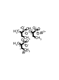 CCC(C)P(=O)([O-])[O-].CCC(C)P(=O)([O-])[O-].CCC(C)P(=O)([O-])[O-].[Al+3].[Al+3]